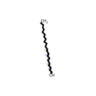 [CH]=C/C=C/C=C/C=C/C=C/C=C/CCCCCCCCCCCC